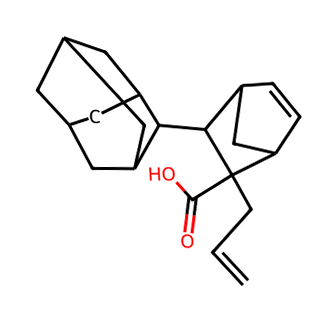 C=CCC1(C(=O)O)C2C=CC(C2)C1C1C2CC3CC(C2)CC1C3